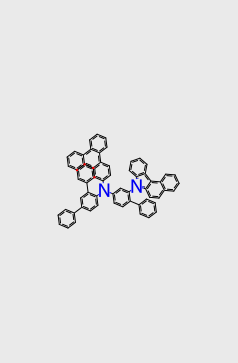 c1ccc(-c2ccc(N(c3ccc(-c4ccccc4)c(-n4c5ccccc5c5c6ccccc6ccc54)c3)c3ccc4c5ccccc5c5ccccc5c4c3)c(-c3ccccc3)c2)cc1